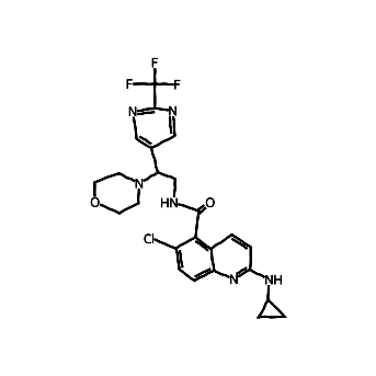 O=C(NCC(c1cnc(C(F)(F)F)nc1)N1CCOCC1)c1c(Cl)ccc2nc(NC3CC3)ccc12